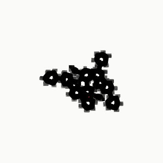 N#Cc1cccc(-c2cccc(C#N)c2-n2c3ccc(-c4ccccc4)cc3c3ccc(-c4ccccc4)cc32)c1-n1c2ccc(-c3ccccc3)cc2c2ccc(-c3ccccc3)cc21